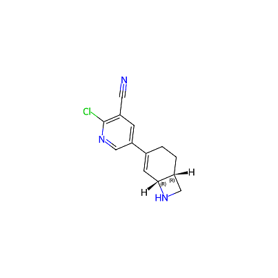 N#Cc1cc(C2=C[C@H]3NC[C@H]3CC2)cnc1Cl